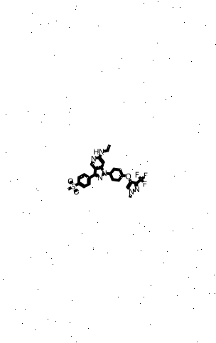 CCNc1cc2c(cn1)c(-c1ccc(S(C)(=O)=O)cc1)nn2C1CCC(Oc2cn(C)nc2C(F)(F)F)CC1